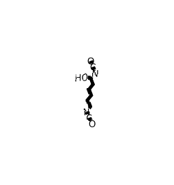 O=C=NCCCCCC(O)N=C=O